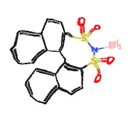 BN1S(=O)(=O)c2ccc3ccccc3c2-c2c(ccc3ccccc23)S1(=O)=O